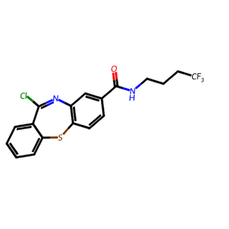 O=C(NCCCC(F)(F)F)c1ccc2c(c1)N=C(Cl)c1ccccc1S2